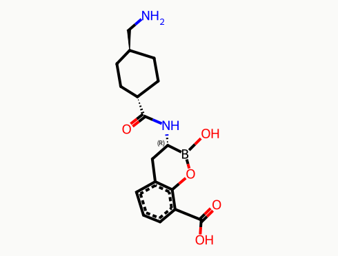 NC[C@H]1CC[C@H](C(=O)N[C@H]2Cc3cccc(C(=O)O)c3OB2O)CC1